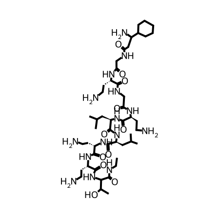 CCNC(=O)C(NC(=O)[C@H](CCN)NC(=O)[C@H](CCN)NC(=O)[C@H](CC(C)C)NC(=O)[C@@H](CC(C)C)NC(=O)[C@H](CCN)NC(=O)CNC(=O)[C@H](CCN)NC(=O)CNC(=O)CC(N)C1CCCCC1)C(C)O